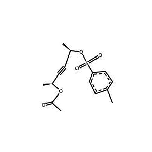 CC(=O)O[C@@H](C)C#C[C@@H](C)OS(=O)(=O)c1ccc(C)cc1